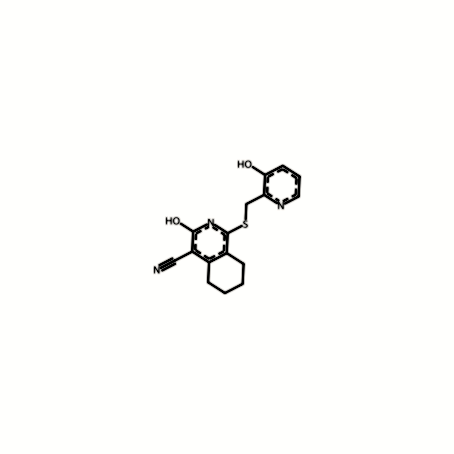 N#Cc1c(O)nc(SCc2ncccc2O)c2c1CCCC2